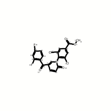 COC(=O)c1cc(Cl)c(-n2cc(C(=O)c3ccc(F)cc3F)ccc2=O)c(Cl)c1